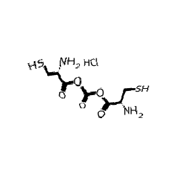 Cl.N[C@@H](CS)C(=O)OC(=O)OC(=O)[C@@H](N)CS